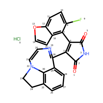 Cl.O=C1NC(=O)C(c2c(F)ccc3occc23)=C1C1=NC=CN2CCc3cccc1c32